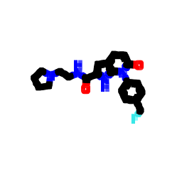 O=C(NCCN1CCCC1)c1cc2ccc(=O)n(-c3ccc(CF)cc3)c2[nH]1